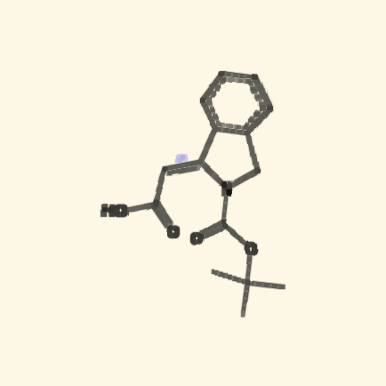 CC(C)(C)OC(=O)N1Cc2ccccc2/C1=C/C(=O)O